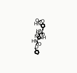 O=C1COc2ccc(CNC(=O)c3ncnc4c(NC(=O)COCc5ccccc5)c[nH]c34)cc2N1